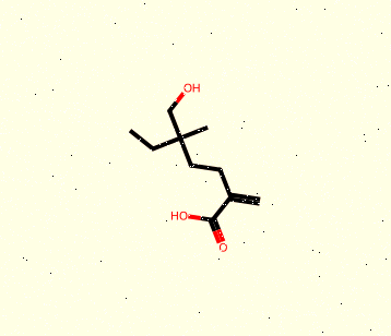 C=C(CCC(C)(CC)CO)C(=O)O